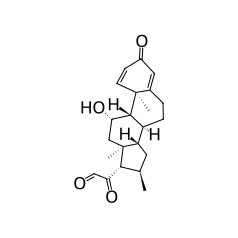 C[C@@H]1C[C@H]2[C@@H]3CCC4=CC(=O)C=C[C@]4(C)[C@H]3[C@@H](O)C[C@]2(C)[C@H]1C(=O)C=O